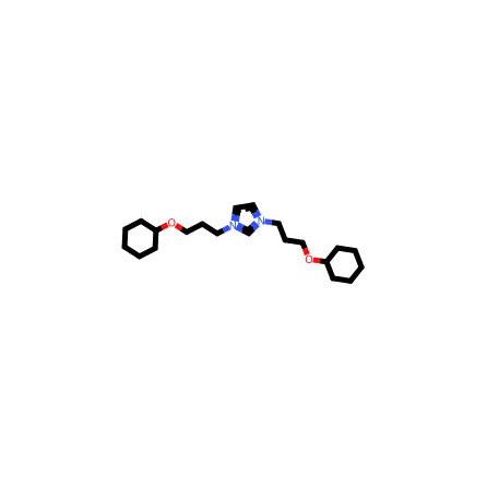 c1c[n+](CCCOC2CCCCC2)cn1CCCOC1CCCCC1